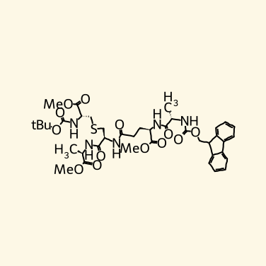 COC(=O)[C@H](CSC[C@@H](NC(=O)CC[C@@H](NC(=O)[C@H](C)NC(=O)OCC1c2ccccc2-c2ccccc21)C(=O)OC)C(=O)N[C@H](C)C(=O)OC)NC(=O)OC(C)(C)C